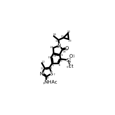 CC[S@+]([O-])c1cc(-c2sc(NC(C)=O)nc2C)cc2c1C(=O)N(C(C)C1CC1)C2